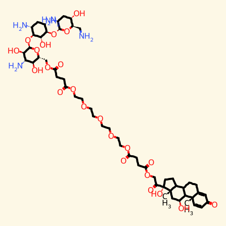 C[C@]12C=CC(=O)C=C1CCC1C2[C@@H](O)C[C@@]2(C)C1CC[C@]2(O)C(=O)COC(=O)CCC(=O)OCCOCCOCCOCCOC(=O)CCC(=O)OC[C@H]1O[C@H](O[C@@H]2[C@@H](O)[C@H](O[C@H]3O[C@H](CN)[C@@H](O)C[C@H]3N)[C@@H](N)C[C@H]2N)[C@H](O)[C@@H](N)[C@@H]1O